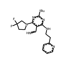 CC(C)(C)c1nc(NCCc2ccccn2)c(C=N)c(N2CCC(F)(F)C2)n1